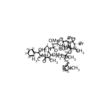 CC[C@H](C)[C@@H]([C@@H](CC(=O)N1CCC[C@H]1[C@H](OC)[C@@H](C)C(=O)N[C@H](C)[C@@H](O)c1ccccc1)OC)N(C)C(=O)[C@@H](NC(=O)[C@H](C(C)C)N(C)C(=O)OCC(C)(C)SSc1nncn1C)C(C)C